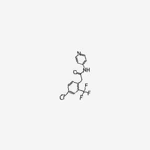 O=C(Cc1ccc(Cl)cc1C(F)(F)F)Nc1ccncc1